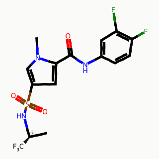 C[C@H](NS(=O)(=O)c1cc(C(=O)Nc2ccc(F)c(F)c2)n(C)c1)C(F)(F)F